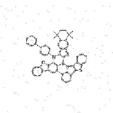 CC1(C)CCC(C)(C)c2cc3c4c(sc3cc21)B1c2c(cc3c(oc5ccccc53)c2N4c2ccc(-c3ccccc3)cc2)-c2cccc3c4sc5ccccc5c4n1c23